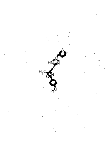 Cc1oc(-c2ccc(OC(C)C)cc2)nc1CSC1=NCN(Cc2cccnc2)CN1